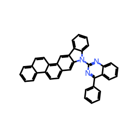 c1ccc(-c2nc(-n3c4ccccc4c4cc5c(ccc6c7ccccc7ccc56)cc43)nc3ccccc23)cc1